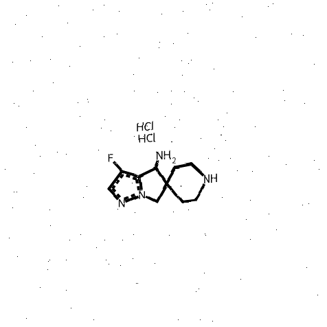 Cl.Cl.NC1c2c(F)cnn2CC12CCNCC2